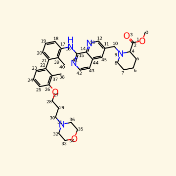 COC(=O)C1CCCCN1Cc1cnc2c(Nc3cccc(-c4cccc(OCCCN5CCOCC5)c4C)c3C)nccc2c1